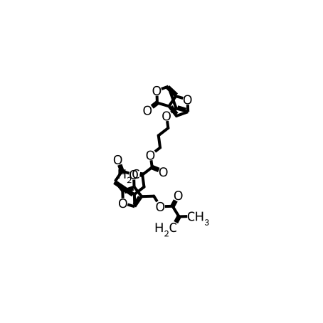 C=C(C)C(=O)OCc1c2c3oc1c(CC(=C)C(=O)OCCCOc1c4c5oc1cc5C(=O)O4)c3C(=O)O2